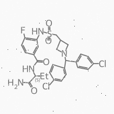 CC[C@H](NC(=O)c1ccc(F)c(NS(=O)(=O)CC2CN(C(c3ccc(Cl)cc3)c3ccc(Cl)cc3)C2)c1)C(N)=O